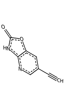 C#Cc1cnc2[nH]c(=O)oc2c1